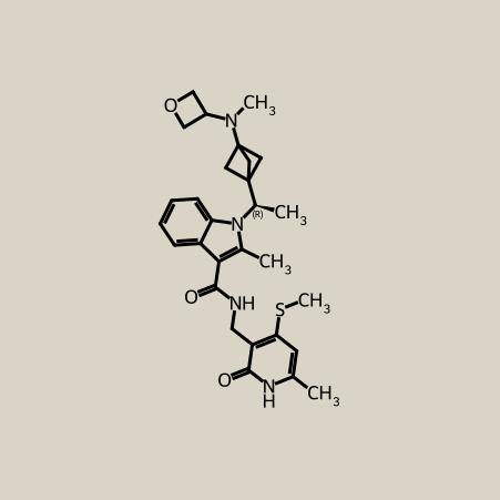 CSc1cc(C)[nH]c(=O)c1CNC(=O)c1c(C)n([C@H](C)C23CC(N(C)C4COC4)(C2)C3)c2ccccc12